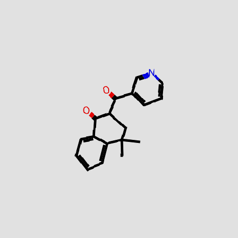 CC1(C)CC(C(=O)c2cccnc2)C(=O)c2ccccc21